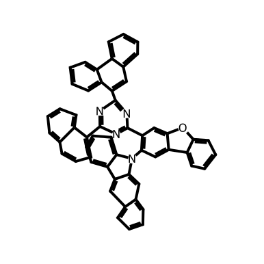 c1ccc2cc3c(cc2c1)c1ccccc1n3-c1cc2c(cc1-c1nc(-c3cccc4ccccc34)nc(-c3cc4ccccc4c4ccccc34)n1)oc1ccccc12